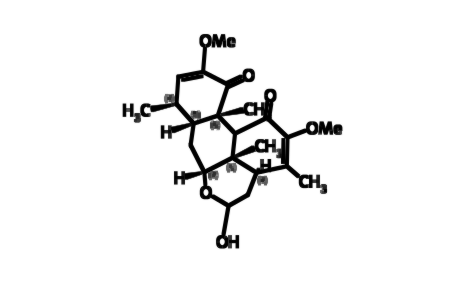 COC1=C[C@H](C)[C@H]2C[C@H]3OC(O)C[C@H]4C(C)=C(OC)C(=O)C([C@@]34C)[C@@]2(C)C1=O